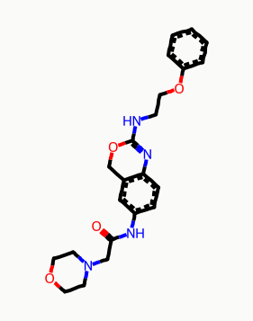 O=C(CN1CCOCC1)Nc1ccc2c(c1)COC(NCCOc1ccccc1)=N2